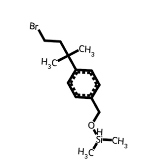 C[SiH](C)OCc1ccc(C(C)(C)CCBr)cc1